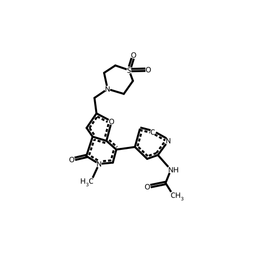 CC(=O)Nc1cc(-c2cn(C)c(=O)c3cc(CN4CCS(=O)(=O)CC4)oc23)ccn1